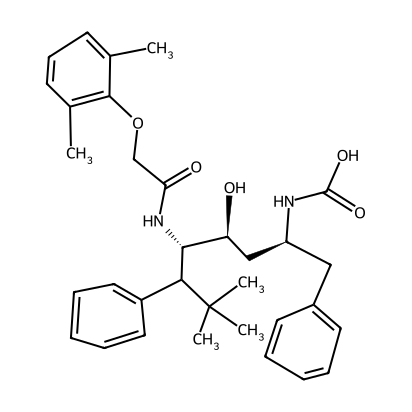 Cc1cccc(C)c1OCC(=O)N[C@@H](C(c1ccccc1)C(C)(C)C)[C@@H](O)C[C@H](Cc1ccccc1)NC(=O)O